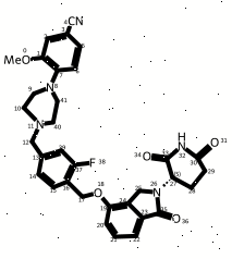 COc1cc(C#N)ccc1N1CCN(Cc2ccc(COc3cccc4c3CN([C@H]3CCC(=O)NC3=O)C4=O)c(F)c2)CC1